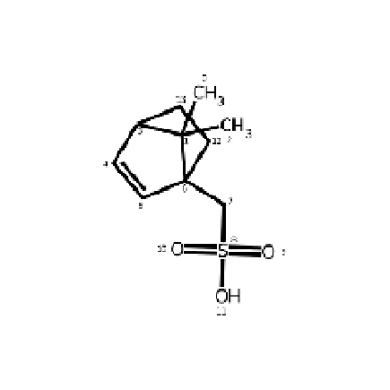 CC1(C)C2C=CC1(CS(=O)(=O)O)CC2